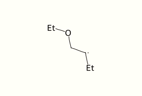 [CH2]COC[CH]CC